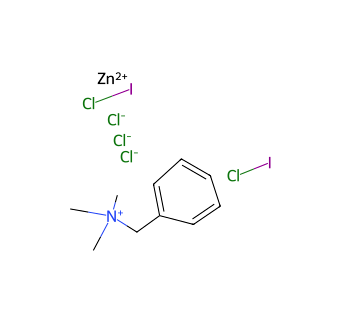 C[N+](C)(C)Cc1ccccc1.ClI.ClI.[Cl-].[Cl-].[Cl-].[Zn+2]